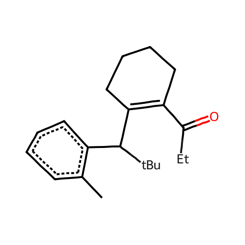 CCC(=O)C1=C(C(c2ccccc2C)C(C)(C)C)CCCC1